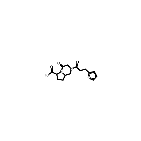 O=C(O)C1CCC2CN(C(=O)CCc3cccs3)CC(=O)N21